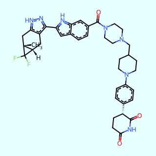 C[C@@]12Cc3[nH]nc(-c4cc5ccc(C(=O)N6CCN(CC7CCN(c8ccc([C@H]9CCC(=O)NC9=O)cc8)CC7)CC6)cc5[nH]4)c3C[C@@H]1C2(F)F